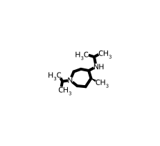 CC(C)NC1CCN(C(C)C)CC[C@@H]1C